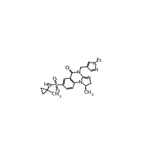 CCn1cc(CN2C(=O)c3cc(S(=O)(=O)NC4(C)CC4)ccc3N3C2=NC[C@H]3C)cn1